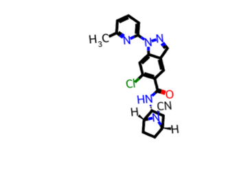 Cc1cccc(-n2ncc3cc(C(=O)N[C@@H]4C[C@@H]5CC[C@H]4N5C#N)c(Cl)cc32)n1